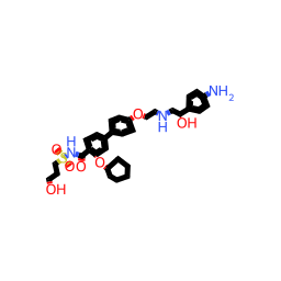 Nc1ccc([C@H](O)CNCCOc2ccc(-c3ccc(C(=O)NS(=O)(=O)CCCO)c(OC4CCCCC4)c3)cc2)cc1